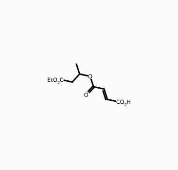 CCOC(=O)CC(C)OC(=O)/C=C/C(=O)O